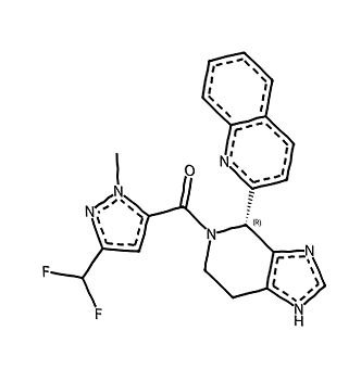 Cn1nc(C(F)F)cc1C(=O)N1CCc2[nH]cnc2[C@H]1c1ccc2ccccc2n1